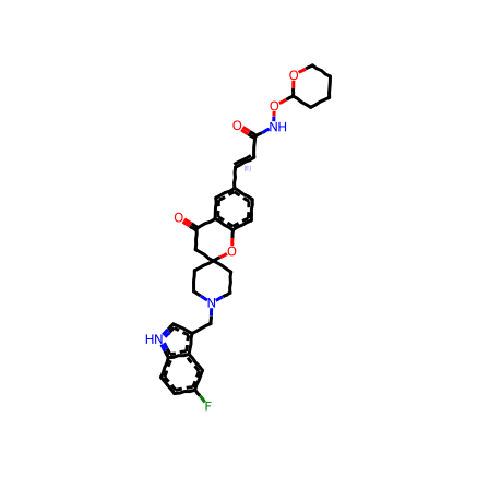 O=C(/C=C/c1ccc2c(c1)C(=O)CC1(CCN(Cc3c[nH]c4ccc(F)cc34)CC1)O2)NOC1CCCCO1